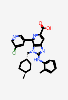 Cc1ccccc1Nc1nc2cc(C(=O)O)nc(-c3cncc(Cl)c3)c2n1C[C@H]1CC[C@H](C)CC1